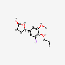 CCCOc1c(I)cc([C@H]2CCC(=O)O2)cc1OC